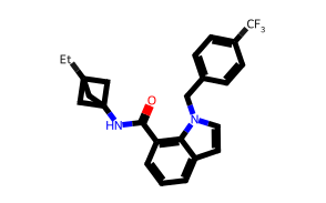 CCC12CC(NC(=O)c3cccc4ccn(Cc5ccc(C(F)(F)F)cc5)c34)(C1)C2